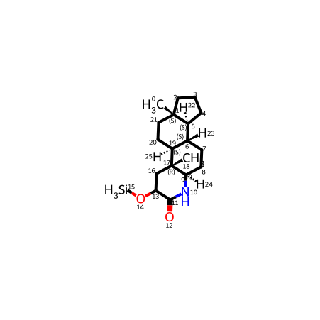 C[C@@]12CCC[C@H]1[C@@H]1CC[C@H]3NC(=O)C(O[SiH3])C[C@]3(C)[C@H]1CC2